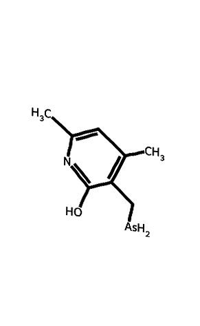 Cc1cc(C)c(C[AsH2])c(O)n1